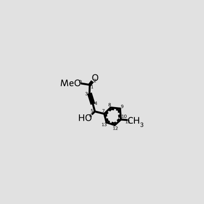 COC(=O)C#CC(O)c1ccc(C)cc1